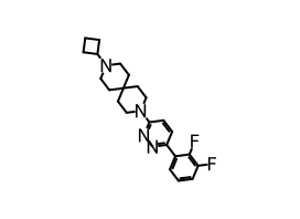 Fc1cccc(-c2ccc(N3CCC4(CC3)CCN(C3CCC3)CC4)nn2)c1F